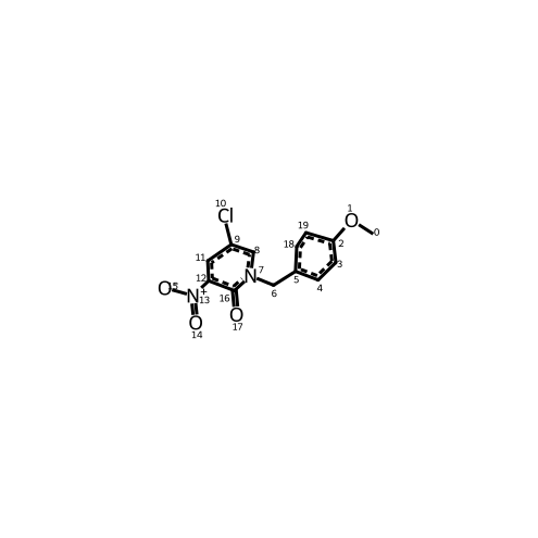 COc1ccc(Cn2cc(Cl)cc([N+](=O)[O-])c2=O)cc1